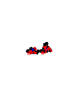 CC1(C)c2ccccc2-c2c(-c3ccccc3N(c3ccccc3-c3cccc4ccccc34)c3ccccc3-c3cccc4oc5cc(-c6ccc7c(c6)C(C)(C)c6cccc(-c8ccccc8N(c8ccccc8-c8cccc9oc%10ccccc%10c89)c8cccc9ccccc89)c6-7)ccc5c34)cccc21